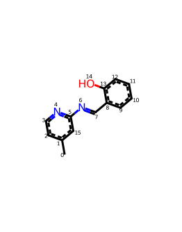 Cc1ccnc(N=Cc2ccccc2O)c1